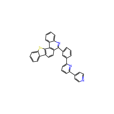 c1cc(-c2cccc(-c3ccncc3)n2)cc(-c2nc3ccccc3c3c2ccc2c4ccccc4sc23)c1